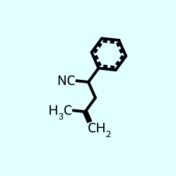 C=C(C)CC(C#N)c1ccccc1